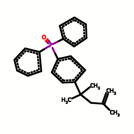 C=C(C)CC(C)(C)c1ccc(P(=O)(c2ccccc2)c2ccccc2)cc1